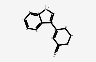 O=C1C=C(c2c[nH]c3ccccc23)CCC1